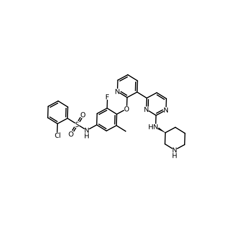 Cc1cc(NS(=O)(=O)c2ccccc2Cl)cc(F)c1Oc1ncccc1-c1ccnc(N[C@H]2CCCNC2)n1